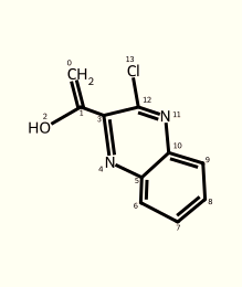 C=C(O)c1nc2ccccc2nc1Cl